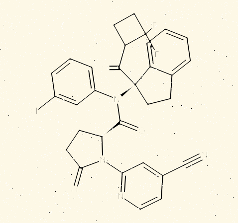 N#Cc1ccnc(N2C(=O)CC[C@H]2C(=O)N(c2cccc(Cl)c2)[C@]2(C(=O)C3CCC3(F)F)CCc3ccccc32)c1